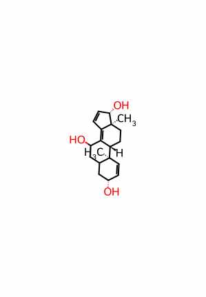 C[C@]12CC[C@H]3C(=C1C=C[C@@H]2O)C(O)CC1C[C@@H](O)C=C[C@@]13C